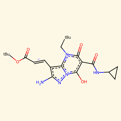 CC(C)(C)Cn1c(=O)c(C(=O)NC2CC2)c(O)n2nc(N)c(/C=C/C(=O)OC(C)(C)C)c12